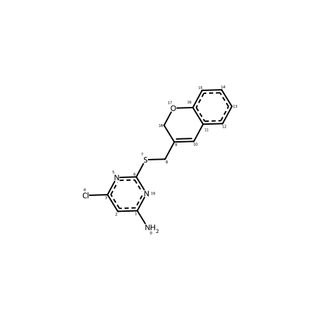 Nc1cc(Cl)nc(SCC2=Cc3ccccc3OC2)n1